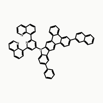 c1ccc(-c2ccc3c(c2)c2cc4c5ccc(-c6ccc7ccccc7c6)cc5c5ccccc5c4cc2n3-c2cc(-c3cccc4cccnc34)nc(-c3cccc4cccnc34)c2)cc1